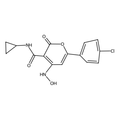 O=C(NC1CC1)c1c(NO)cc(-c2ccc(Cl)cc2)oc1=O